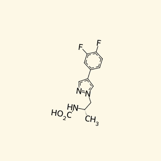 C[C@@H](Cn1cc(-c2ccc(F)c(F)c2)cn1)NC(=O)O